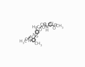 COC(=O)c1cc(NC(=O)O[C@H](C)[C@H](C)Oc2cc3sc(-c4cc(C)cc5nc(OC)cnc45)nc3cc2F)ccn1